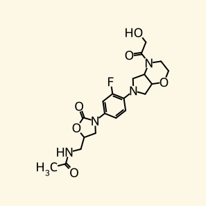 CC(=O)NCC1CN(c2ccc(N3CC4OCCN(C(=O)CO)C4C3)c(F)c2)C(=O)O1